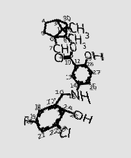 CC1(C)C2CCC1(C)C(OC(=O)c1cc(NCc3cc(F)cc(Cl)c3O)ccc1O)C2